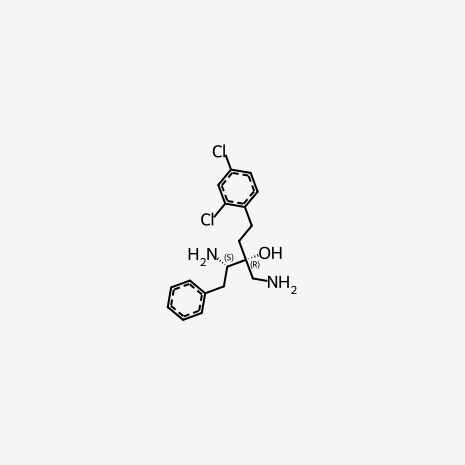 NC[C@](O)(CCc1ccc(Cl)cc1Cl)[C@@H](N)Cc1ccccc1